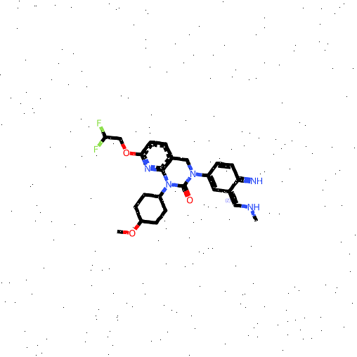 CN/C=C1/C=C(N2Cc3ccc(OCC(F)F)nc3N(C3CCC(OC)CC3)C2=O)C=CC1=N